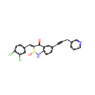 O=C1/C(=C/c2ccc(Cl)c(Cl)c2)[S+]([O-])Nc2ccc(C#CCc3cccnc3)cc21